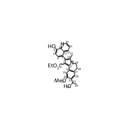 CCOC(=O)c1c(-c2ccc(O)c3ncccc23)c(C)n2c1-c1cc(OC)c(C(C)O)cc1CC2